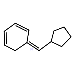 [C]1=CC=C/C(=C\C2CCCC2)C1